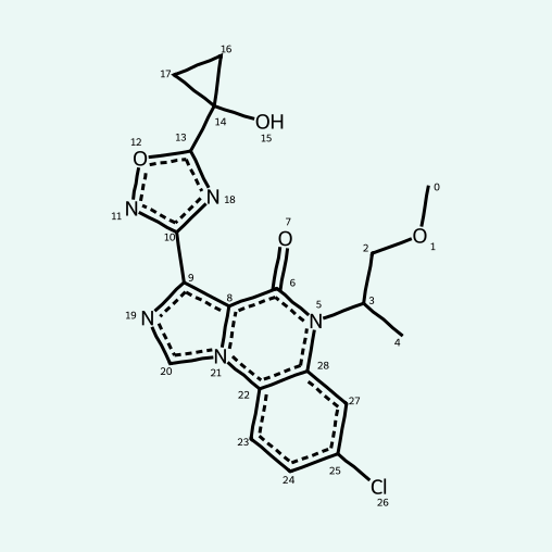 COCC(C)n1c(=O)c2c(-c3noc(C4(O)CC4)n3)ncn2c2ccc(Cl)cc21